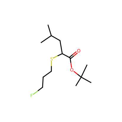 CC(C)CC(SCCCF)C(=O)OC(C)(C)C